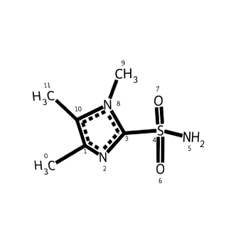 Cc1nc(S(N)(=O)=O)n(C)c1C